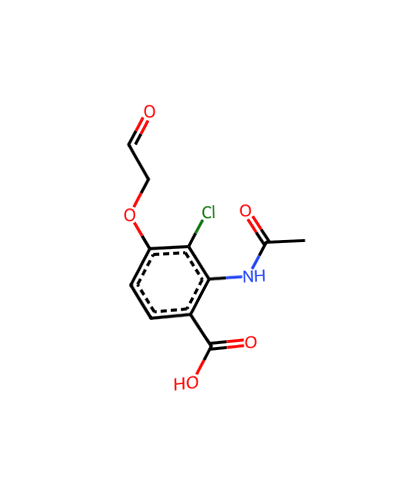 CC(=O)Nc1c(C(=O)O)ccc(OCC=O)c1Cl